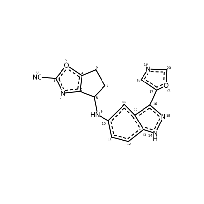 N#Cc1nc2c(o1)CCC2Nc1ccc2[nH]nc(-c3cnco3)c2c1